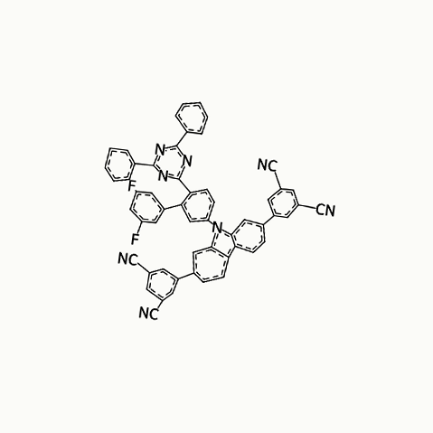 N#Cc1cc(C#N)cc(-c2ccc3c4ccc(-c5cc(C#N)cc(C#N)c5)cc4n(-c4ccc(-c5nc(-c6ccccc6)nc(-c6ccccc6)n5)c(-c5cc(F)cc(F)c5)c4)c3c2)c1